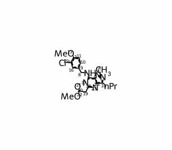 CCCc1nn(C)c2c(NCc3ccc(OC)c(Cl)c3)nc(CC(=O)OC)nc12